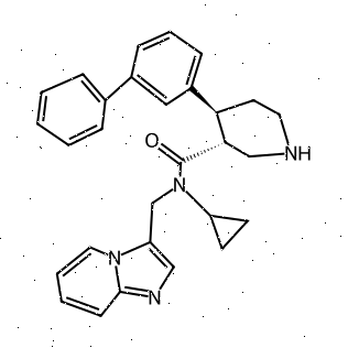 O=C([C@H]1CNCC[C@@H]1c1cccc(-c2ccccc2)c1)N(Cc1cnc2ccccn12)C1CC1